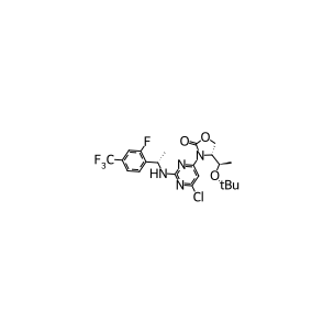 C[C@H](Nc1nc(Cl)cc(N2C(=O)OC[C@@H]2[C@@H](C)OC(C)(C)C)n1)c1ccc(C(F)(F)F)cc1F